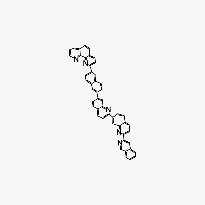 c1ccc2cc(-c3ccc4ccc(-c5ccc6ccc(-c7ccc8cc(-c9ccc%10ccc%11cccnc%11c%10n9)ccc8c7)cc6n5)cc4n3)ncc2c1